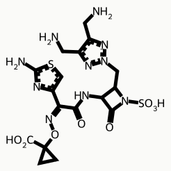 NCc1nn(CC2C(NC(=O)/C(=N\OC3(C(=O)O)CC3)c3csc(N)n3)C(=O)N2S(=O)(=O)O)nc1CN